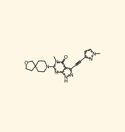 Cn1ccc(C#Cc2n[nH]c3nc(N4CCC5(CCOC5)CC4)n(C)c(=O)c23)n1